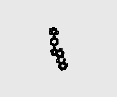 CCCCOC(=O)N1CCC(n2ccc3c(Oc4cccnc4C)ncnc32)CC1